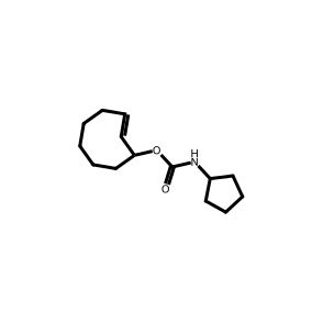 O=C(NC1CCCC1)OC1/C=C/CCCCC1